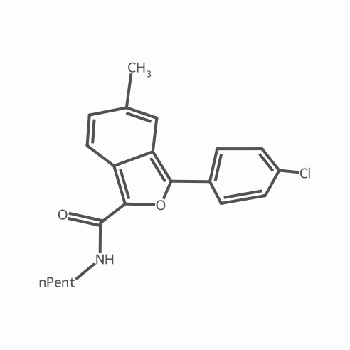 CCCCCNC(=O)c1oc(-c2ccc(Cl)cc2)c2cc(C)ccc12